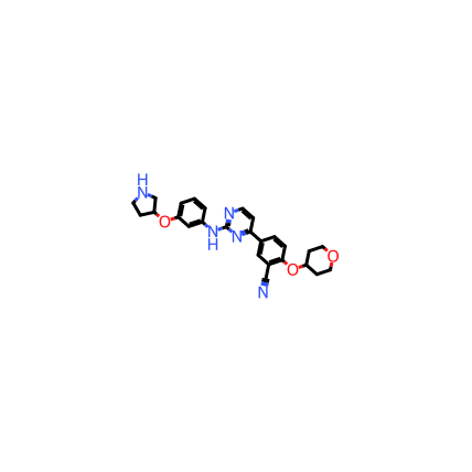 N#Cc1cc(-c2ccnc(Nc3cccc(OC4CCNC4)c3)n2)ccc1OC1CCOCC1